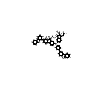 C/C=C\C1=C(CC)C(C)(C)c2cc(N(c3ccc(-c4ccc5oc6ccccc6c5c4)cc3)c3ccc4c(c3)C(C)(C)c3cc(-c5cccc6c5oc5ccccc56)ccc3-4)ccc21